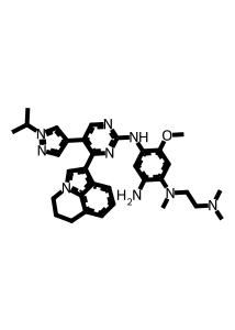 COc1cc(N(C)CCN(C)C)c(N)cc1Nc1ncc(-c2cnn(C(C)C)c2)c(-c2cn3c4c(cccc24)CCC3)n1